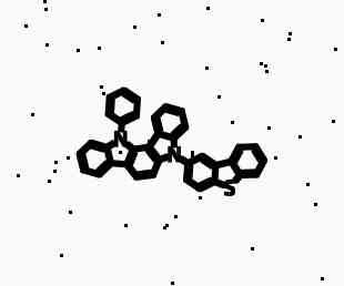 c1ccc(-n2c3ccccc3c3ccc4c(c5ccccc5n4-c4ccc5sc6ccccc6c5c4)c32)cc1